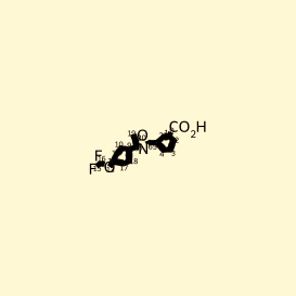 O=C(O)c1cccc(-c2nc(-c3ccc(OC(F)F)cc3)co2)c1